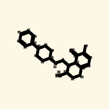 Cc1ccc2n(c1=O)C(COC1CCC(c3ccccc3)CC1)C(O)CC2